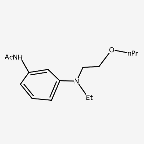 CCCOCCN(CC)c1cccc(NC(C)=O)c1